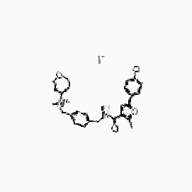 Cc1oc(-c2ccc(Cl)cc2)cc1C(=O)NCc1ccc(C[N+](C)(C)C2CCOCC2)cc1.[I-]